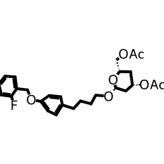 CC(=O)OC[C@@H]1C[C@H](OC(C)=O)C[C@H](OCCCCc2ccc(OCc3ccccc3F)cc2)O1